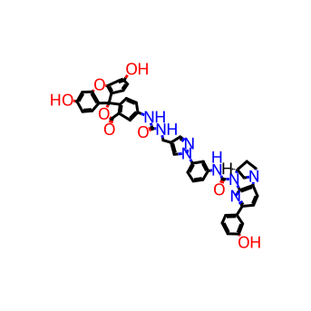 O=C(NCc1cnn(-c2cccc(NC(=O)N3c4nc(-c5cccc(O)c5)ccc4N4CC[C@H]3C4)c2)c1)Nc1ccc2c(c1)C(=O)OC21c2ccc(O)cc2Oc2cc(O)ccc21